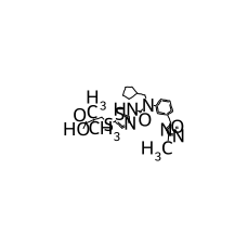 Cc1noc(-c2cccc(N(CC3CCCC3)C(=O)Nc3ncc(SCC(C)(C)C(=O)O)s3)c2)n1